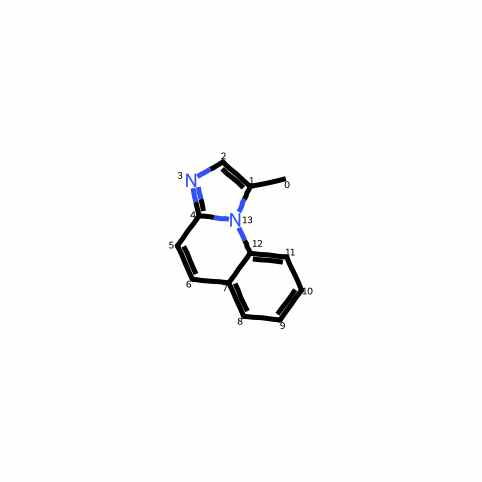 Cc1cnc2ccc3ccccc3n12